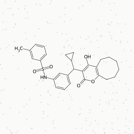 Cc1cccc(S(=O)(=O)Nc2cccc(C(c3c(O)c4c(oc3=O)CCCCCC4)C3CC3)c2)c1